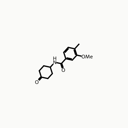 COc1cc(C(=O)NC2CCC(=O)CC2)ccc1C